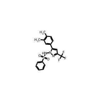 Cc1ccc(-c2cc(C(F)(F)F)nn2NS(=O)(=O)c2ccccc2)cc1C